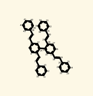 C(=C\c1ccc(/C=C/c2ccccc2)c(-c2cc(/C=C/c3ccccc3)ccc2/C=C/c2ccccc2)c1)/c1ccccc1